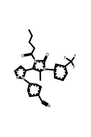 CCCCC(=O)n1c(-c2ccnn2-c2ccc(C#N)cc2)c(C)n(-c2cccc(C(F)(F)F)c2)c1=O